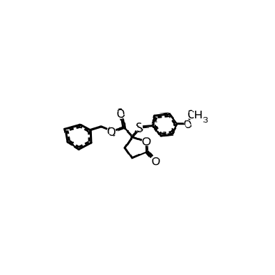 COc1ccc(SC2(C(=O)OCc3ccccc3)CCC(=O)O2)cc1